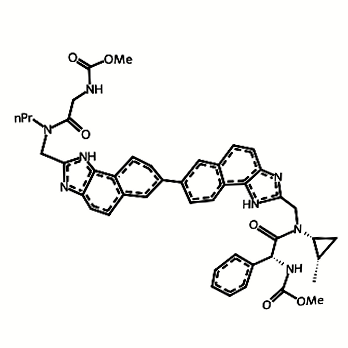 CCCN(Cc1nc2ccc3cc(-c4ccc5c(ccc6nc(CN(C(=O)[C@H](NC(=O)OC)c7ccccc7)[C@@H]7C[C@@H]7C)[nH]c65)c4)ccc3c2[nH]1)C(=O)CNC(=O)OC